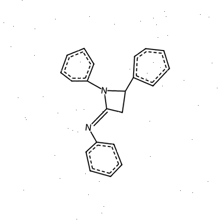 c1ccc(/N=C2\CC(c3ccccc3)N2c2ccccc2)cc1